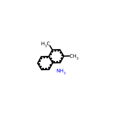 Cc1cc(C)c2ccccc2c1.N